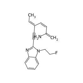 C=C(N)/C=C\C(C#Cc1nc2ccccc2n1CCF)=C/C